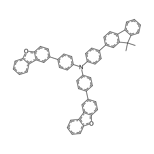 CC1(C)c2ccccc2-c2ccc(-c3ccc(N(c4ccc(-c5ccc6oc7ccccc7c6c5)cc4)c4ccc(-c5ccc6oc7ccccc7c6c5)cc4)cc3)cc21